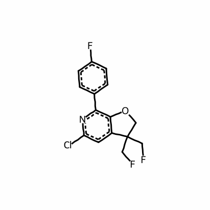 FCC1(CF)COc2c1cc(Cl)nc2-c1ccc(F)cc1